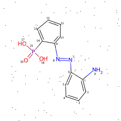 Nc1ccccc1N=Nc1ccccc1P(=O)(O)O